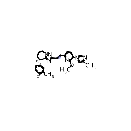 COc1nc(/C=C/c2nc3n(n2)CCC[C@H]3c2ccc(F)c(C)c2)ccc1-n1cnc(C)c1